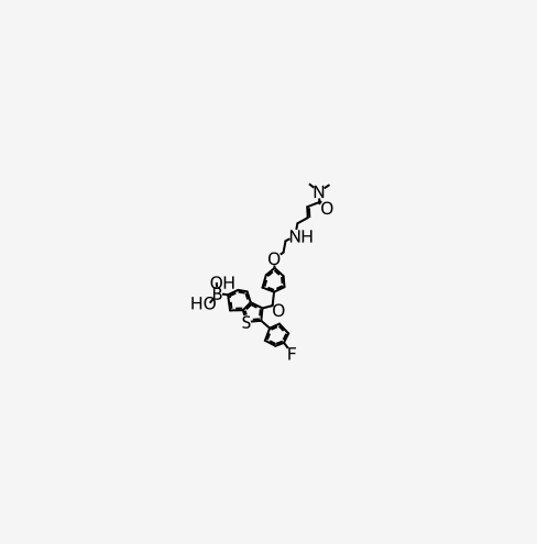 CN(C)C(=O)/C=C/CNCCOc1ccc(C(=O)c2c(-c3ccc(F)cc3)sc3cc(B(O)O)ccc23)cc1